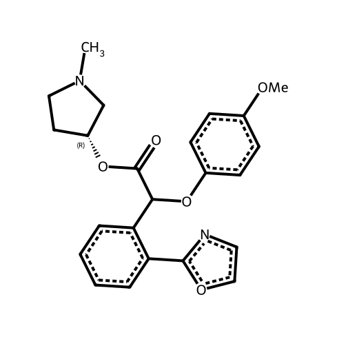 COc1ccc(OC(C(=O)O[C@@H]2CCN(C)C2)c2ccccc2-c2ncco2)cc1